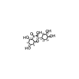 O=C1c2c(O)cc(O)cc2OC(c2ccc(O)c(O)c2)[C@H]1O